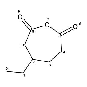 CCC1CCC(=O)OC(=O)C1